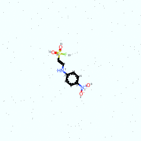 O=[N+]([O-])c1ccc(N/C=C/S(=O)(=O)F)cc1